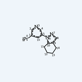 CC(C)c1cncc(-n2ncc3c2CCCC3)c1